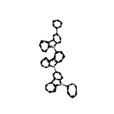 c1ccc(-c2ccc3c(c2)c2ccccc2n3-c2cccc3c2c2ccccc2n3-c2ccc3c(c2)c2ccccc2n3-c2ccccc2)cc1